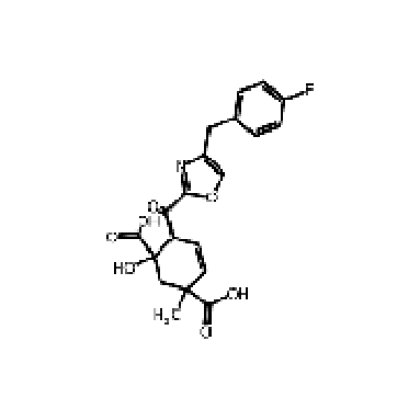 CC1(C(=O)O)C=CC(C(=O)c2nc(Cc3ccc(F)cc3)co2)C(O)(C(=O)O)C1